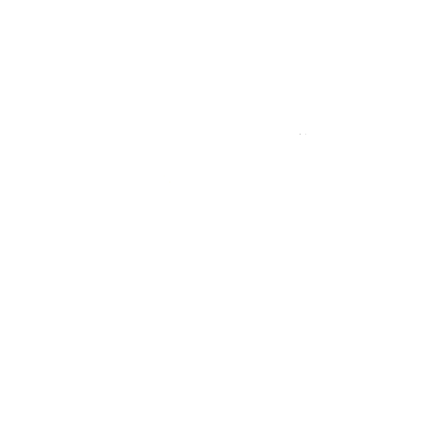 CCCCCCCCCCCCC(Sc1cc2ccccc2s1)C(=O)O